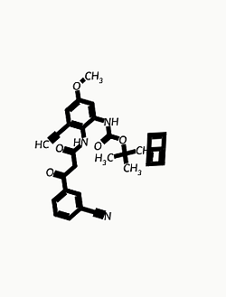 C#Cc1cc(OC)cc(NC(=O)OC(C)(C)C)c1NC(=O)CC(=O)c1cccc(C#N)c1.c1cc2ccc1-2